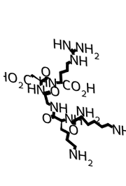 N=C(N)NCCC[C@H](NC(=O)[C@H](CC(=O)O)NC(=O)CNC(=O)[C@H](CCCCN)NC(=O)[C@@H](N)CCCCN)C(=O)O